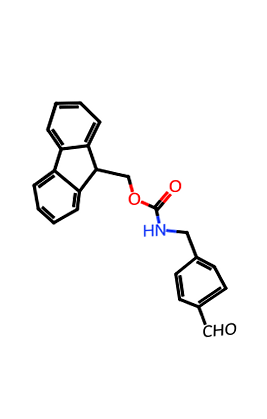 O=Cc1ccc(CNC(=O)OCC2c3ccccc3-c3ccccc32)cc1